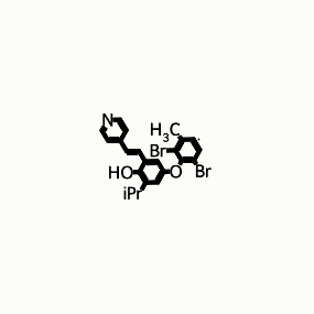 Cc1[c]cc(Br)c(Oc2cc(/C=C/c3ccncc3)c(O)c(C(C)C)c2)c1Br